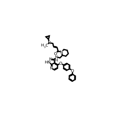 CN(CC=CC(=O)N1CCCCC1CNc1n[nH]c2nccc(Oc3ccc(Oc4ccccc4)cc3)c12)C1CC1